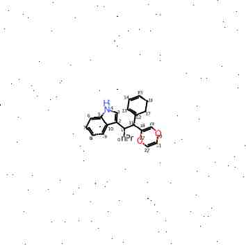 [CH2]CCC(c1c[nH]c2ccccc12)C(C1=CC=CCC1)C1=COC=CO1